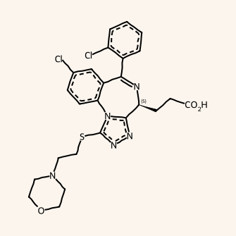 O=C(O)CC[C@@H]1N=C(c2ccccc2Cl)c2cc(Cl)ccc2-n2c(SCCN3CCOCC3)nnc21